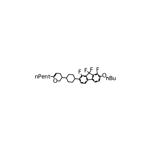 CCCCCC1=CCC(C2CCC(c3ccc4c(c3F)C(F)(F)c3c-4ccc(OCCCC)c3F)CC2)CO1